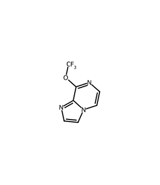 FC(F)(F)Oc1nccn2ccnc12